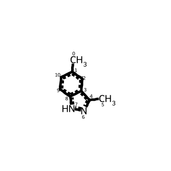 Cc1[c]c2c(C)n[nH]c2cc1